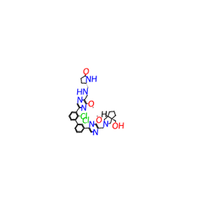 COc1nc(-c2cccc(-c3cccc(-c4cnc(CN5C[C@@H]6CCC[C@]6(CO)C5)c(OC)n4)c3Cl)c2Cl)cnc1CNC[C@@H]1CCC(=O)N1